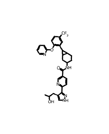 CC(O)Cc1c[nH]nc1-c1ccc(C(=O)NC2CCC3C(C2)C3c2cc(C(F)(F)F)ccc2Oc2ccccn2)cn1